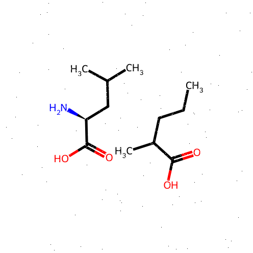 CC(C)C[C@H](N)C(=O)O.CCCC(C)C(=O)O